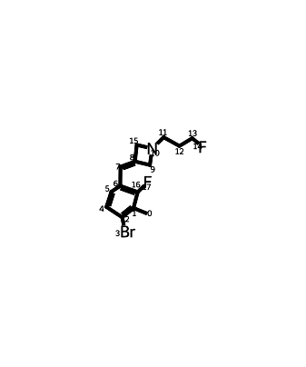 Cc1c(Br)ccc(C=C2CN(CCCF)C2)c1F